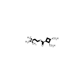 C[Si](C)(C)CCOC(=O)[C@H]1C[C@H](C(=O)O)[C@@H]1C(=O)O